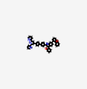 c1ccc(-c2cc(-c3ccc(-c4ccc(-c5nc6cc(-c7cccc8oc9ccccc9c78)ccc6c6c5oc5ccccc56)cc4)cc3)cc(-c3ccccn3)n2)nc1